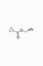 CCCCOS(=O)C1CC1